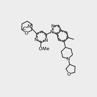 COc1nc(N2CC3CCC2CO3)cc(-n2ncc3cc(C)c(C4CCN(C5CCOC5)CC4)cc32)n1